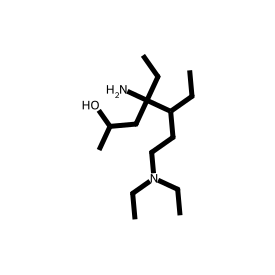 CCC(CCN(CC)CC)C(N)(CC)CC(C)O